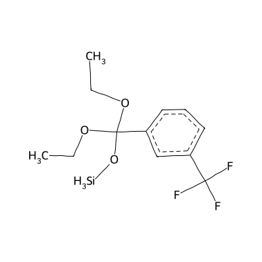 CCOC(O[SiH3])(OCC)c1cccc(C(F)(F)F)c1